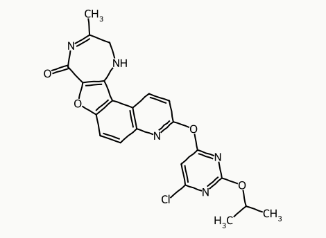 CC1=NC(=O)c2oc3ccc4nc(Oc5cc(Cl)nc(OC(C)C)n5)ccc4c3c2NC1